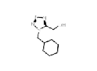 OCc1nnnn1CC1CCCCC1